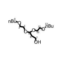 CCCCOCCOC(CCO)OCCOCCCC